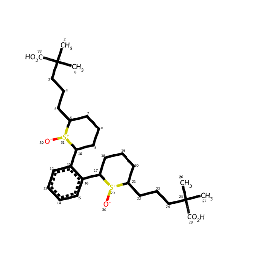 CC(C)(CCCC1CCCC(c2ccccc2C2CCCC(CCCC(C)(C)C(=O)O)[S+]2[O-])[S+]1[O-])C(=O)O